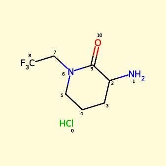 Cl.NC1CCCN(CC(F)(F)F)C1=O